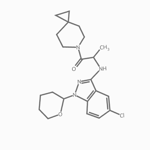 CC(Nc1nn(C2CCCCO2)c2ccc(Cl)cc12)C(=O)N1CCC2(CC1)CC2